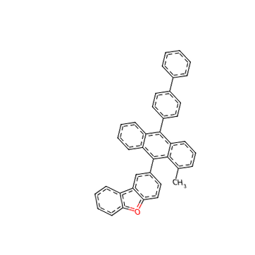 Cc1cccc2c(-c3ccc(-c4ccccc4)cc3)c3ccccc3c(-c3ccc4oc5ccccc5c4c3)c12